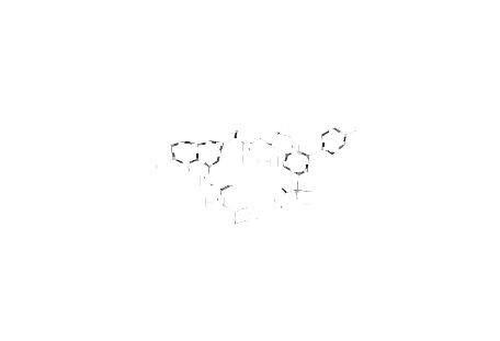 Cc1cc2cc(C(=O)NC[C@](O)(c3cc4c(c(-c5ccc(F)cc5)n3)OC[C@]4(C)C(N)=O)C(F)(F)F)cc(NC(=O)NC3COC3)c2nc1C